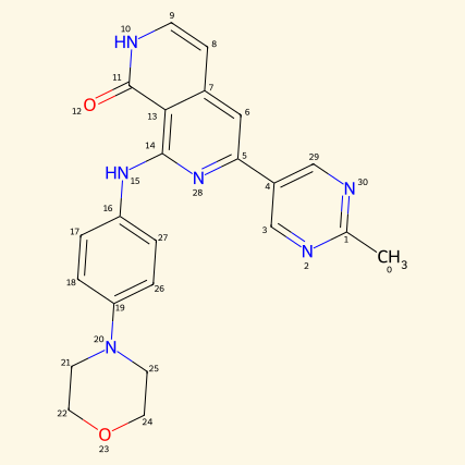 Cc1ncc(-c2cc3cc[nH]c(=O)c3c(Nc3ccc(N4CCOCC4)cc3)n2)cn1